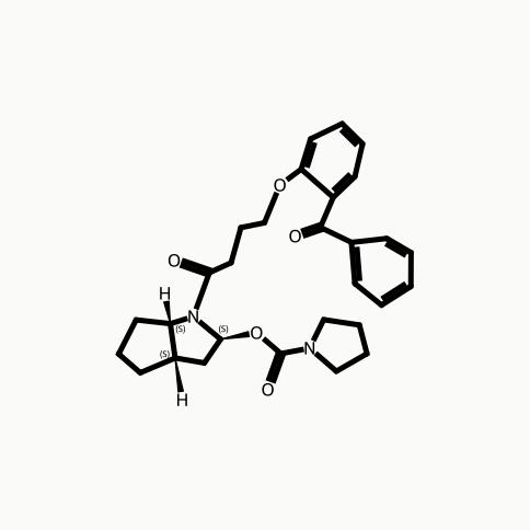 O=C(c1ccccc1)c1ccccc1OCCCC(=O)N1[C@@H](OC(=O)N2CCCC2)C[C@@H]2CCC[C@@H]21